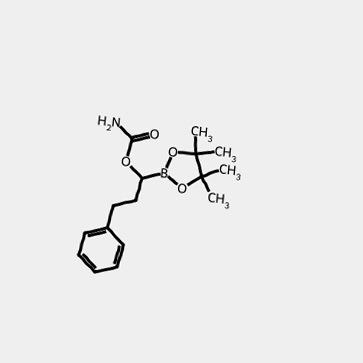 CC1(C)OB(C(CCc2ccccc2)OC(N)=O)OC1(C)C